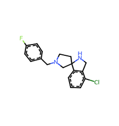 Fc1ccc(CN2CCC3(C2)NCc2c(Cl)cccc23)cc1